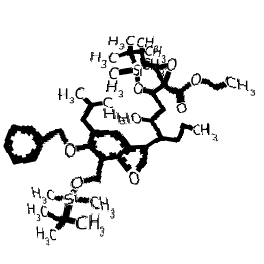 CCCC(c1coc2c(CO[Si](C)(C)C(C)(C)C)c(OCc3ccccc3)c(CC(C)C)cc12)C(O)CC(O[Si](C)(C)C(C)(C)C)C1(C(=O)OCC)OC1CC